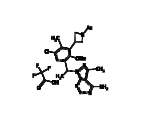 COc1c(C(C)n2nc(C)c3c(N)ncnc32)cc(Cl)c(C)c1C1CN(C(C)=O)C1.O=C(O)C(F)(F)F